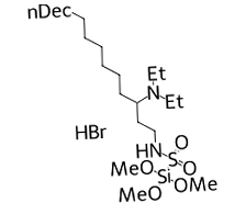 Br.CCCCCCCCCCCCCCCCC(CCNS(=O)(=O)[Si](OC)(OC)OC)N(CC)CC